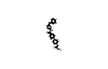 NC(=O)C[C@H]1CC[C@H](c2ccc(C(=O)Nc3nnc(Cc4ccccc4)s3)cc2)CC1